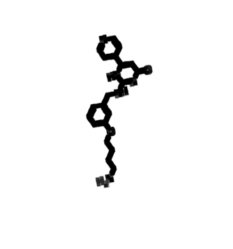 NCCCCOc1cccc(CNc2nc(=O)cc(-c3ccncc3)[nH]2)c1